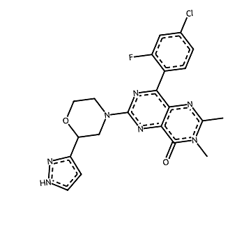 Cc1nc2c(-c3ccc(Cl)cc3F)nc(N3CCOC(c4cc[nH]n4)C3)nc2c(=O)n1C